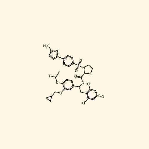 Cn1ccc(-c2ccc(S(=O)(=O)N3CCS[C@H]3C(=O)O[C@@H](Cc3c(Cl)c[n+]([O-])cc3Cl)c3ccc(OC(F)F)c(OCC4CC4)c3)cc2)n1